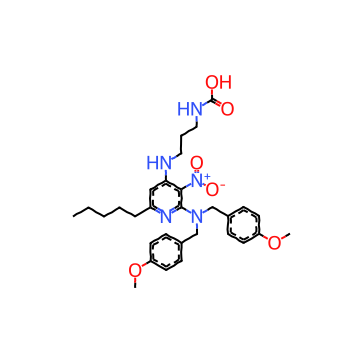 CCCCCc1cc(NCCCNC(=O)O)c([N+](=O)[O-])c(N(Cc2ccc(OC)cc2)Cc2ccc(OC)cc2)n1